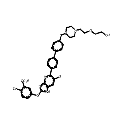 O=C(O)c1cc(Oc2nc3nc(-c4ccc(-c5ccc(CN6CCN(CCOCCO)CC6)cc5)cc4)c(Cl)cc3[nH]2)ccc1Cl